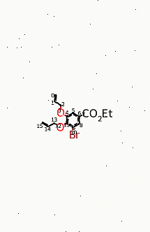 C=CCOc1cc(C(=O)OCC)cc(Br)c1OCC=C